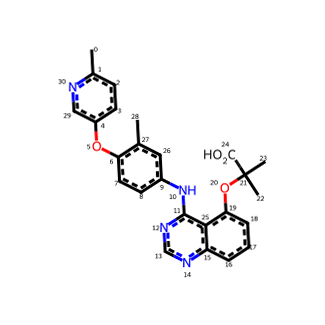 Cc1ccc(Oc2ccc(Nc3ncnc4cccc(OC(C)(C)C(=O)O)c34)cc2C)cn1